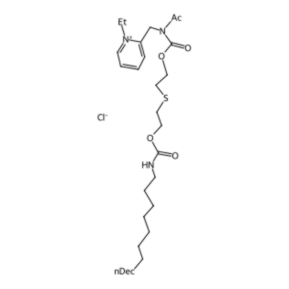 CCCCCCCCCCCCCCCCCNC(=O)OCCSCCOC(=O)N(Cc1cccc[n+]1CC)C(C)=O.[Cl-]